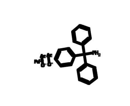 CC(=O)[O-].CC(=O)[O-].PC(c1ccccc1)(c1ccccc1)c1ccccc1.[Pd+2]